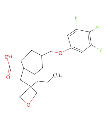 CCCC1(CC2(C(=O)O)CCC(COc3cc(F)c(F)c(F)c3)CC2)COC1